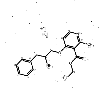 CCOC(=O)c1c(OCC(N)Cc2ccccc2)ccnc1C.Cl.Cl